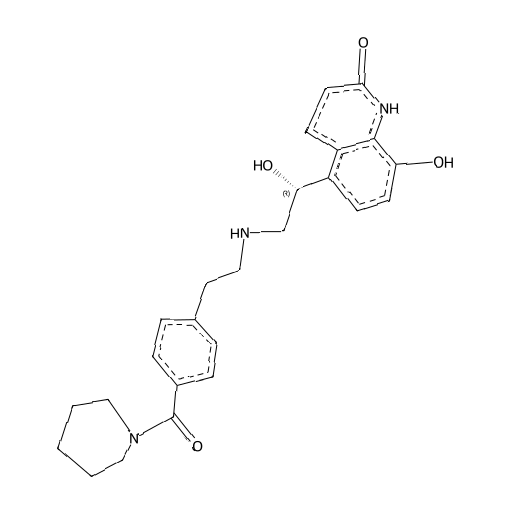 O=C(c1ccc(CCNC[C@H](O)c2ccc(O)c3[nH]c(=O)ccc23)cc1)N1CCCCC1